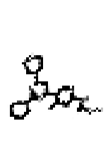 COC(=O)Nc1cc(C)c(-c2cc(N3CCOCC3)nc(N3CCCCC3)n2)cn1